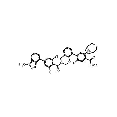 COC(=O)c1cc(F)c(-c2cccc3c2OCN(C(=O)c2c(Cl)cc(-c4cccc5c4cnn5C)cc2Cl)C3)cc1N1C2CCC1COC2